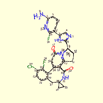 Nc1ccc(-c2cnc([C@H]3CCc4c5c(cc(=O)n43)-c3c(ccc(Cl)c3F)CC3(CC3)NC5=O)[nH]2)c(F)n1